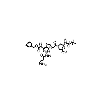 CC(C)(C)OC(=O)NCCN(CC(=O)O)C(=O)Cn1cnc2c(NC(=O)OCc3ccccc3)nc(NC(=O)CCN)nc21